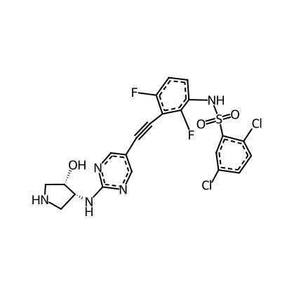 O=S(=O)(Nc1ccc(F)c(C#Cc2cnc(N[C@@H]3CNC[C@@H]3O)nc2)c1F)c1cc(Cl)ccc1Cl